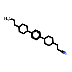 CCCC1CCC(c2ccc(C3CCC(CCC#N)CC3)cc2)CC1